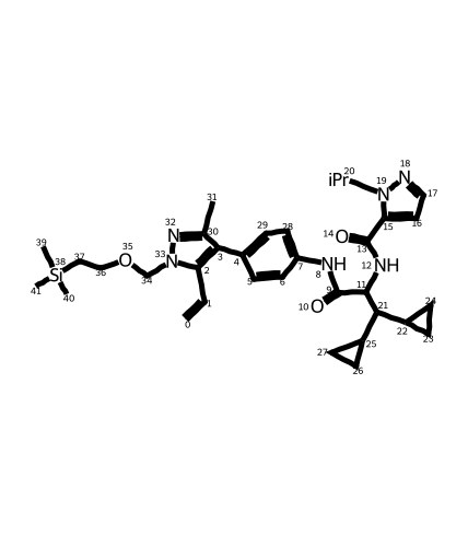 C=Cc1c(-c2ccc(NC(=O)C(NC(=O)c3ccnn3C(C)C)C(C3CC3)C3CC3)cc2)c(C)nn1COCC[Si](C)(C)C